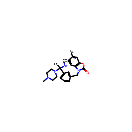 [CH2]CC(NC(=O)O)(c1cccc(Cn2c(=O)oc3cc(C(C)=O)ccc32)c1)N1CCN(C)CC1